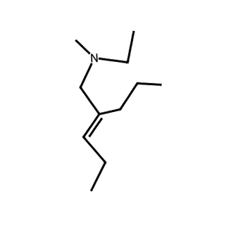 CC/C=C(\CCC)CN(C)CC